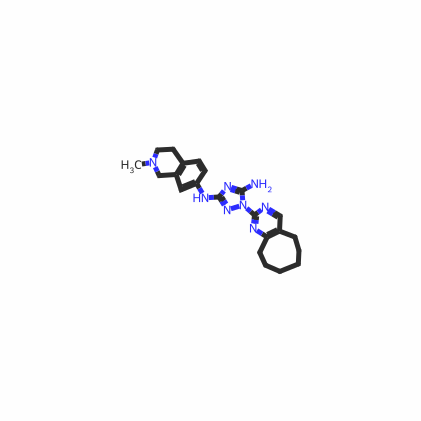 CN1CCc2ccc(Nc3nc(N)n(-c4ncc5c(n4)CCCCCC5)n3)cc2C1